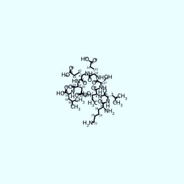 CC[C@H](C)[C@H](NC(=O)[C@H](CC(C)C)NC(=O)[C@@H](N)CCCCN)C(=O)N[C@@H](CO)C(=O)N[C@@H](CCC(=O)O)C(=O)N[C@@H](CCC(=O)O)C(=O)N[C@@H](CC(=O)O)C(=O)N[C@@H](CC(C)C)C(=O)O